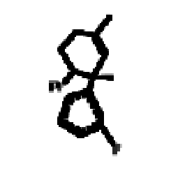 CC1=C[C@](C)(c2cccc(F)c2)C(C(C)C)CC1